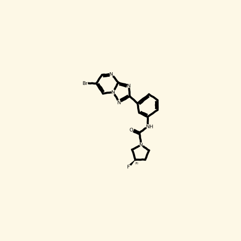 O=C(Nc1cccc(-c2nc3ncc(Br)cn3n2)c1)N1CC[C@@H](F)C1